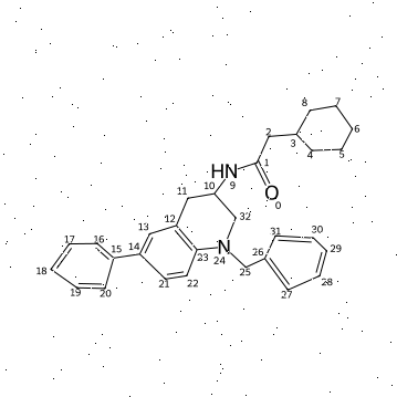 O=C(CC1CCCCC1)NC1Cc2cc(-c3ccccc3)ccc2N(Cc2ccccc2)C1